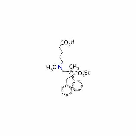 CCOC(=O)[C@](Cc1ccccc1)(c1ccccc1)[C@@H](C)CN(C)CCCCC(=O)O